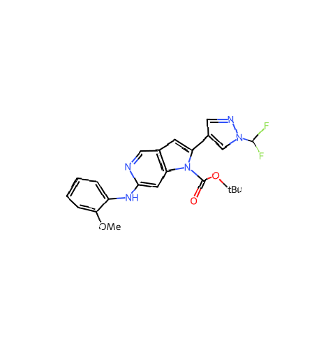 COc1ccccc1Nc1cc2c(cn1)cc(-c1cnn(C(F)F)c1)n2C(=O)OC(C)(C)C